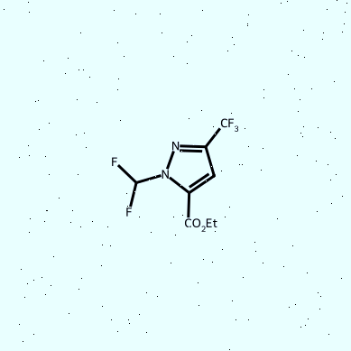 CCOC(=O)c1cc(C(F)(F)F)nn1C(F)F